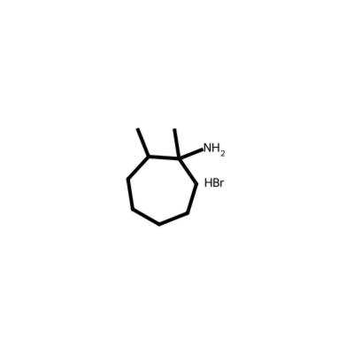 Br.CC1CCCCCC1(C)N